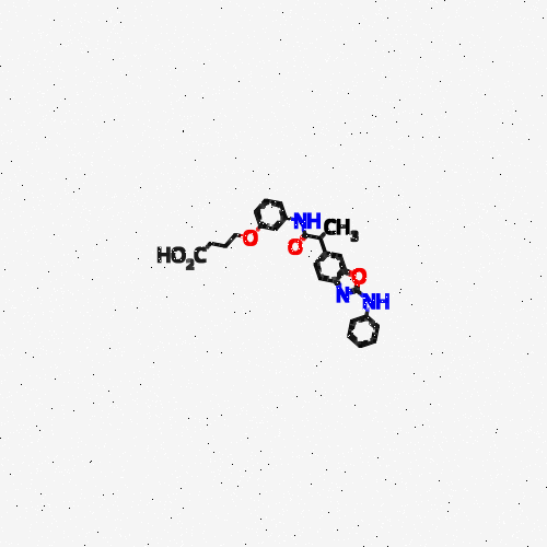 CC(C(=O)Nc1cccc(OCCCC(=O)O)c1)c1ccc2nc(Nc3ccccc3)oc2c1